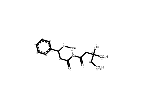 CCCCOC(CC(=O)OC(=O)CC(O)(CC(=O)O)C(=O)O)c1ccccc1